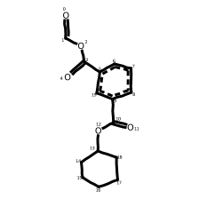 O=COC(=O)c1cccc(C(=O)OC2CCCCC2)c1